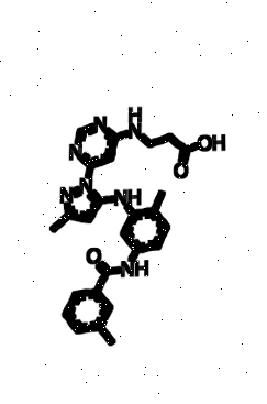 Cc1cccc(C(=O)Nc2ccc(C)c(Nc3cc(C)nn3-c3cc(NCCC(=O)O)ncn3)c2)c1